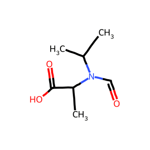 CC(C)N(C=O)C(C)C(=O)O